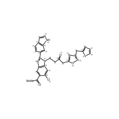 CNC(=O)c1cc2nc(-c3ccc4cn[nH]c4c3)n(CCC(=O)Cc3nc(Cc4cccs4)no3)c2cc1Cl